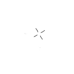 [Mg+2].[O-][Ti]([O-])([O-])[O-].[Sr+2]